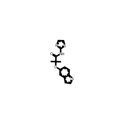 CC(C)(Oc1ccc2sccc2c1)C(=O)Nc1nccs1